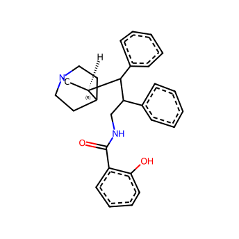 O=C(NCC(c1ccccc1)C(c1ccccc1)[C@@H]1CN2CCC1CC2)c1ccccc1O